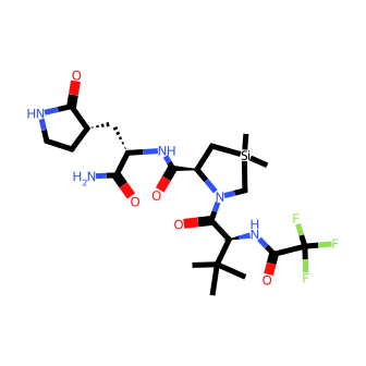 CC(C)(C)[C@H](NC(=O)C(F)(F)F)C(=O)N1C[Si](C)(C)C[C@@H]1C(=O)N[C@@H](C[C@@H]1CCNC1=O)C(N)=O